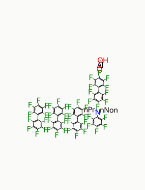 CCCCCCCCCN(CCC)c1c(F)c(F)c(F)c(F)c1F.Fc1c(F)c(F)c(-c2c(F)c(F)c(F)c(F)c2F)c(F)c1F.Fc1c(F)c(F)c(-c2c(F)c(F)c(F)c(F)c2F)c(F)c1F.Fc1c(F)c(F)c(-c2c(F)c(F)c(F)c(F)c2F)c(F)c1F.Fc1c(F)c(F)c(-c2c(F)c(F)c(F)c(F)c2F)c(F)c1F.[O]=[Al][OH]